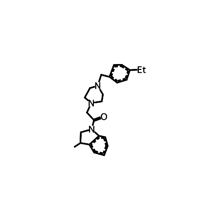 CCc1ccc(CN2CCN(CC(=O)N3CC(C)c4ccccc43)CC2)cc1